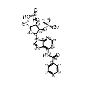 CC[C@H]1O[C@@H](n2cnc3c(NC(=O)c4ccccc4)ncnc32)[C@H](O[Si](C)(C)C(C)(C)C)[C@@H]1O[PH](=O)O